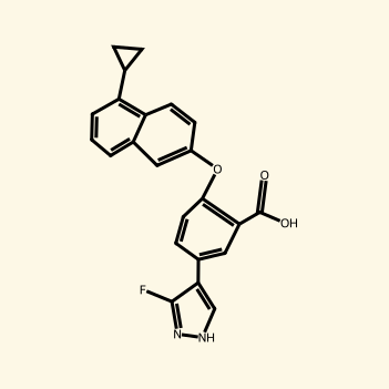 O=C(O)c1cc(-c2c[nH]nc2F)ccc1Oc1ccc2c(C3CC3)cccc2c1